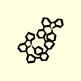 c1ccc(-n2c3ccccc3c3cccc(-c4cccc(-c5cccc(-c6cccc(-c7cccc(-c8cccc9c%10ccccc%10n(-c%10ccccc%10)c89)c7)c6)c5)c4)c32)cc1